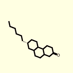 CCCCCC[C@@H]1CCC2C(CCC3CC(=O)CCC32)C1